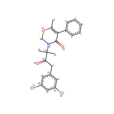 CC1=C(c2ccccc2)C(=O)N(C(C)(C)C(=O)Cc2cc(Cl)cc(Cl)c2)CO1